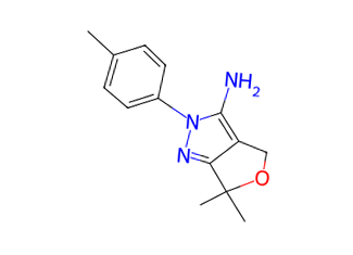 Cc1ccc(-n2nc3c(c2N)COC3(C)C)cc1